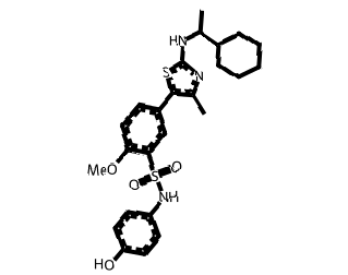 COc1ccc(-c2sc(NC(C)C3CCCCC3)nc2C)cc1S(=O)(=O)Nc1ccc(O)cc1